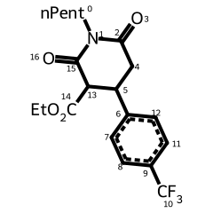 CCCCCN1C(=O)CC(c2ccc(C(F)(F)F)cc2)C(C(=O)OCC)C1=O